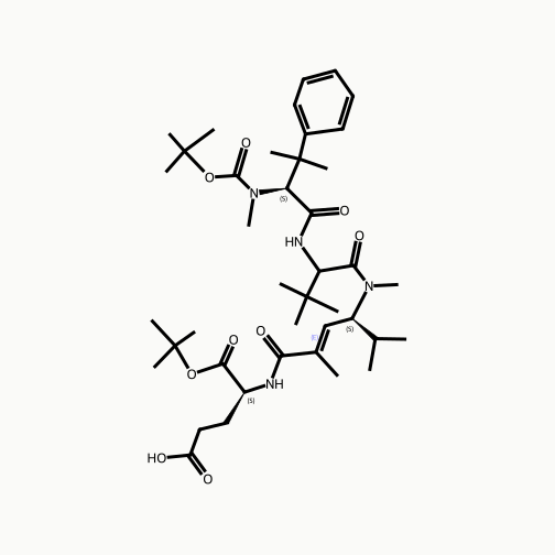 C/C(=C\[C@H](C(C)C)N(C)C(=O)C(NC(=O)[C@@H](N(C)C(=O)OC(C)(C)C)C(C)(C)c1ccccc1)C(C)(C)C)C(=O)N[C@@H](CCC(=O)O)C(=O)OC(C)(C)C